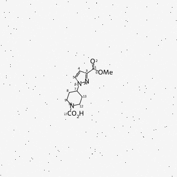 COC(=O)c1ccn(C2CCN(C(=O)O)CC2)n1